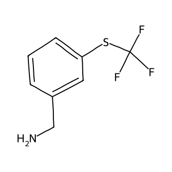 NCc1cccc(SC(F)(F)F)c1